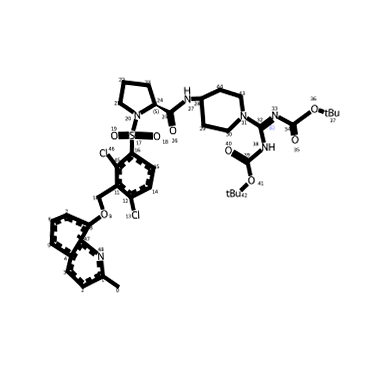 Cc1ccc2cccc(OCc3c(Cl)ccc(S(=O)(=O)N4CCC[C@H]4C(=O)NC4CCN(/C(=N/C(=O)OC(C)(C)C)NC(=O)OC(C)(C)C)CC4)c3Cl)c2n1